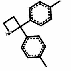 Cc1ccc(C2(c3ccc(C)cc3)CCP2)cc1